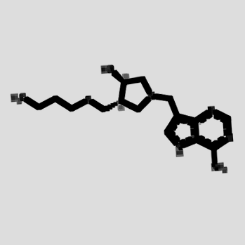 CCCCSC[C@H]1CN(Cc2c[nH]c3c(N)ncnc23)C[C@@H]1O